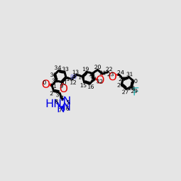 O=c1cc(-c2nnn[nH]2)oc2c(/C=C/c3ccc4c(c3)CC(COCc3ccc(F)cc3)O4)cccc12